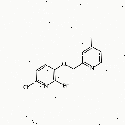 Cc1ccnc(COc2ccc(Cl)nc2Br)c1